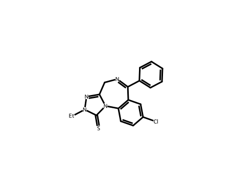 CCn1nc2n(c1=S)-c1ccc(Cl)cc1C(c1ccccc1)=NC2